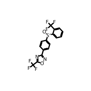 [O-][S+](c1ccc(-c2noc(C(F)(F)F)n2)cc1)c1ccccc1C(F)(F)F